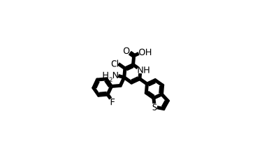 NC1(Cc2ccccc2F)C=C(c2ccc3ccsc3c2)NC(C(=O)O)=C1Cl